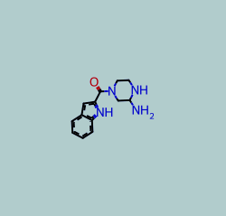 NC1CN(C(=O)c2cc3ccccc3[nH]2)CCN1